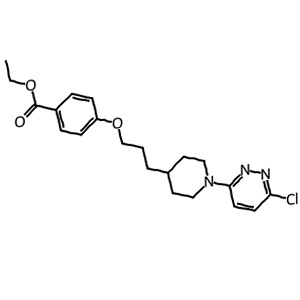 CCOC(=O)c1ccc(OCCCC2CCN(c3ccc(Cl)nn3)CC2)cc1